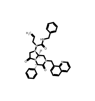 C=CCN(C(=O)NCc1ccccc1)N1CC(=O)N2[C@@H](c3ccccc3)C(=O)N(Cc3cccc4cccnc34)C[C@@H]21